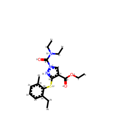 CCOC(=O)c1cn(C(=O)N(CC)CC)nc1Sc1c(C)cccc1CC